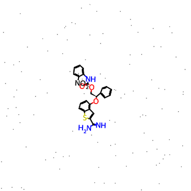 N=C(N)c1cc2c(O[C@@H](COC(=O)Nc3ccccc3[N+](=O)[O-])c3ccccc3)cccc2s1